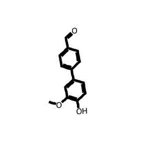 COc1cc(-c2ccc(C=O)cc2)ccc1O